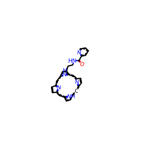 O=C(NCCc1cc2cc3nc(cc4ccc(cc5nc(cc1[nH]2)C=C5)[nH]4)C=C3)c1ccccn1